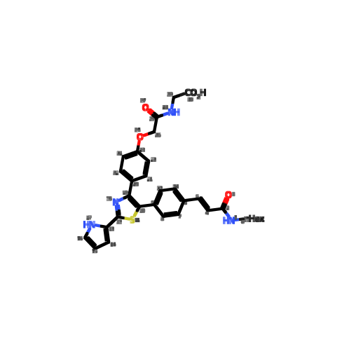 CCCCCCNC(=O)C=Cc1ccc(-c2sc(-c3ccc[nH]3)nc2-c2ccc(OCC(=O)NCC(=O)O)cc2)cc1